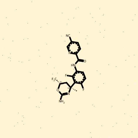 C[C@@]1(c2c(F)ccc(NC(=O)c3ccc(C#N)cn3)c2F)C[C@@H](C(F)(F)F)OC(N)=N1